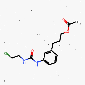 CC(=O)OCCCc1cccc(NC(=O)NCCCl)c1